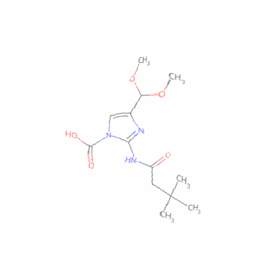 COC(OC)c1cn(C(=O)O)c(NC(=O)CC(C)(C)C)n1